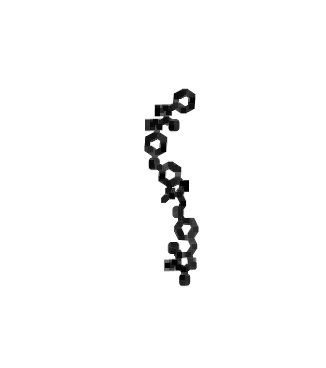 Cn1c(COc2ccc(CC3SC(=O)NC3=O)cc2)nc2ccc(Oc3ccc(NC(=O)Nc4ccccc4)cc3)cc21